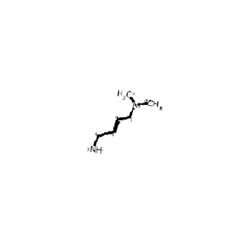 CN(C)CC=CC[NH]